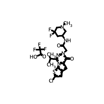 CC(C)c1nn(CC(=O)NC2CN(C)CC(F)(F)C2)c(=O)c2cc3cc(Cl)sc3n12.O=C(O)C(F)(F)F